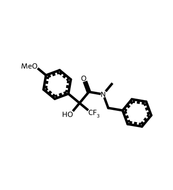 COc1ccc(C(O)(C(=O)N(C)Cc2ccccc2)C(F)(F)F)cc1